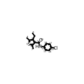 CCc1c(C)sc(C)c1C(=O)Nc1ccc(Cl)cc1